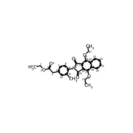 CCOC(=O)Cc1ccc(N2C(=O)c3c(c(OCC)c4ccccc4c3OCC)C2=O)c(C)c1